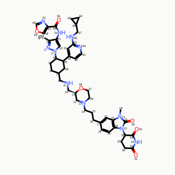 CC(C)c1nn(C2CCC(CNC[C@@H]3CN(CCCc4ccc5c(c4)n(C)c(=O)n5C4CCC(=O)NC4=O)CCO3)CC2c2ccnc(NCC3CC3)c2)cc1NC(=O)c1cocn1